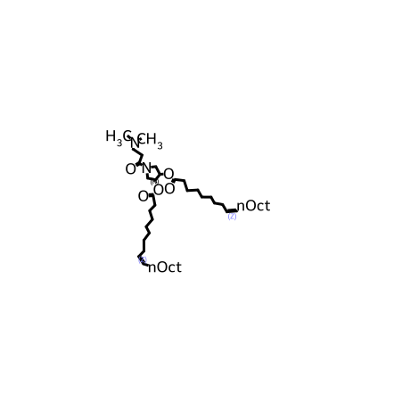 CCCCCCCC/C=C\CCCCCCCC(=O)OC1CN(C(=O)CCN(C)C)C[C@H]1OC(=O)CCCCCCC/C=C\CCCCCCCC